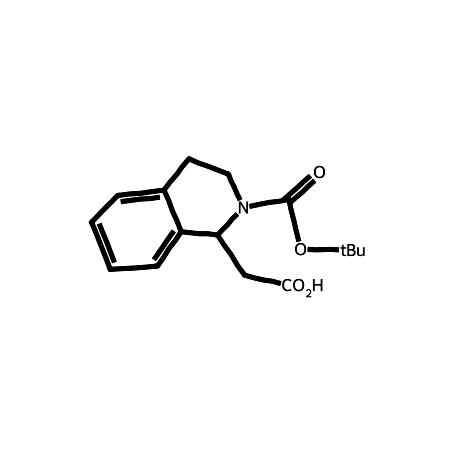 CC(C)(C)OC(=O)N1CCc2ccccc2C1CC(=O)O